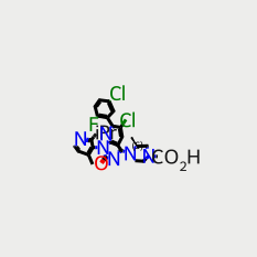 Cc1ccnc(C(C)C)c1-n1c(=O)nc(N2CCN(C(=O)O)C[C@@H]2C)c2cc(Cl)c(-c3cc(Cl)ccc3F)nc21